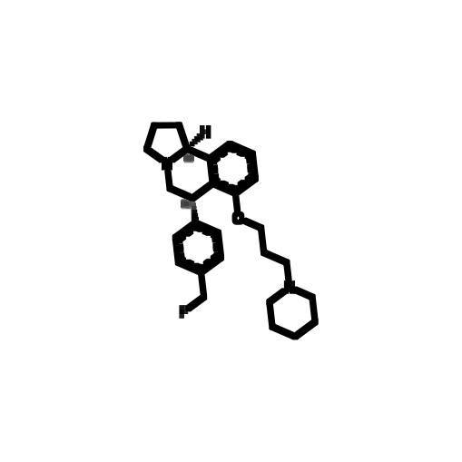 FCc1ccc([C@@H]2CN3CCC[C@H]3c3cccc(OCCCN4CCCCC4)c32)cc1